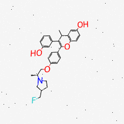 CC1C(c2cccc(O)c2)=C(c2ccc(OC[C@H](C)N3CCC(CF)C3)cc2)Oc2ccc(O)cc21